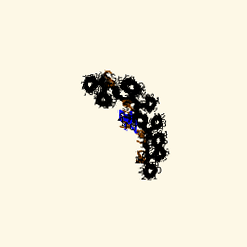 C(=C\c1sc(-c2ccc(-c3sc(/C=C/c4scc(-c5ccccc5)c4-c4ccccc4)c(-c4ccccc4)c3-c3ccccc3)c3nsnc23)c(-c2ccccc2)c1-c1ccccc1)/c1scc(-c2ccccc2)c1-c1ccccc1